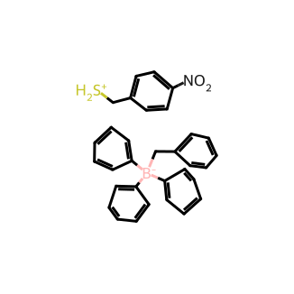 O=[N+]([O-])c1ccc(C[SH2+])cc1.c1ccc(C[B-](c2ccccc2)(c2ccccc2)c2ccccc2)cc1